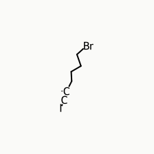 BrCCCC[CH]CI